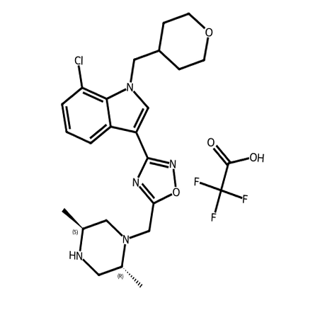 C[C@@H]1CN[C@@H](C)CN1Cc1nc(-c2cn(CC3CCOCC3)c3c(Cl)cccc23)no1.O=C(O)C(F)(F)F